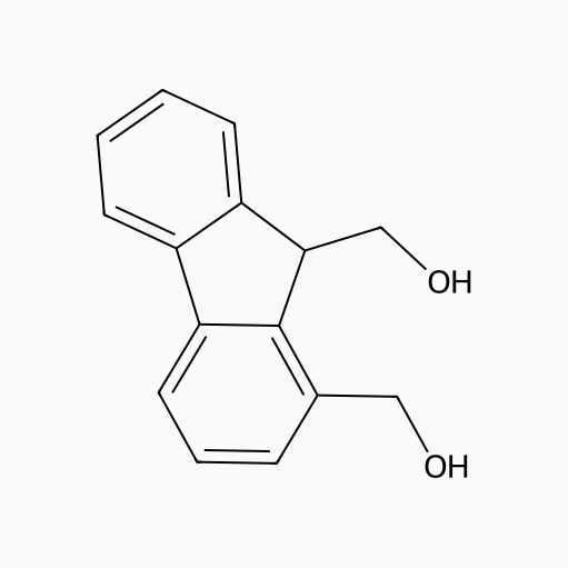 OCc1cccc2c1C(CO)c1ccccc1-2